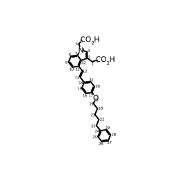 O=C(O)Cc1cn(CC(=O)O)c2cccc(/C=C/c3ccc(OCCCCCc4ccccc4)cc3)c12